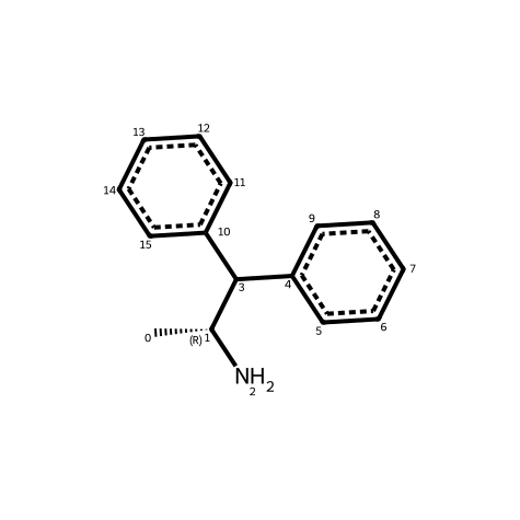 C[C@@H](N)C(c1ccccc1)c1ccccc1